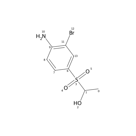 CC(O)S(=O)(=O)c1ccc(N)c(Br)c1